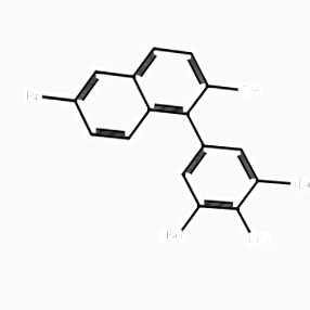 CC(C)(C)c1cc(-c2c(O)ccc3cc(Br)ccc23)cc(C(C)(C)C)c1O